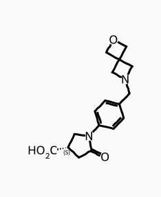 O=C(O)[C@H]1CC(=O)N(c2ccc(CN3CC4(COC4)C3)cc2)C1